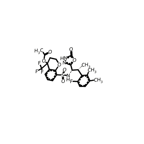 CC(=O)OC1(C(F)(F)F)CCOc2c1cccc2S(=O)(=O)N[C@H](c1n[nH]c(=O)o1)[C@H](C)c1c(F)ccc(C)c1C